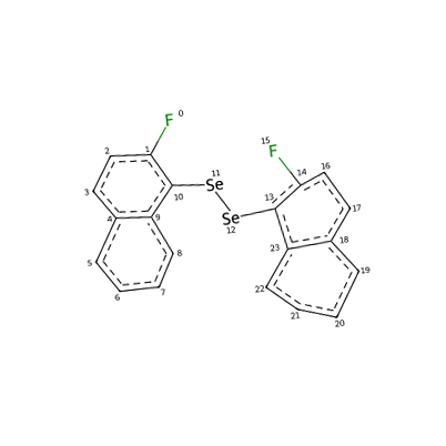 Fc1ccc2ccccc2c1[Se][Se]c1c(F)ccc2ccccc12